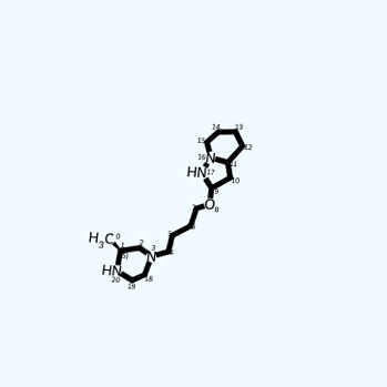 C[C@H]1CN(CCCCOC2CC3CCCCN3N2)CCN1